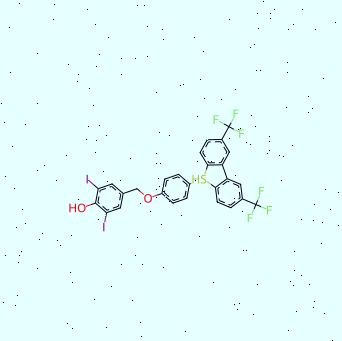 Oc1c(I)cc(COc2ccc([SH]3c4ccc(C(F)(F)F)cc4-c4cc(C(F)(F)F)ccc43)cc2)cc1I